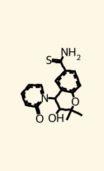 CC1(C)Oc2ccc(C(N)=S)cc2C(n2ccccc2=O)C1O